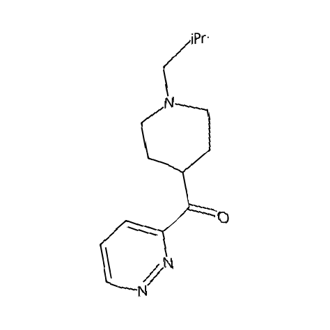 C[C](C)CN1CCC(C(=O)c2cccnn2)CC1